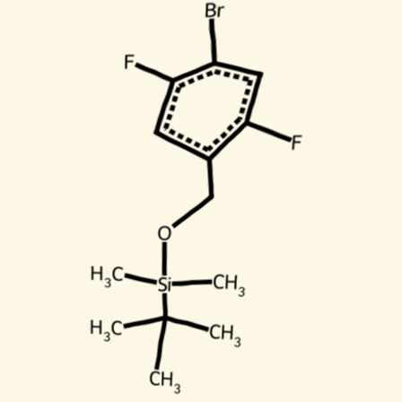 CC(C)(C)[Si](C)(C)OCc1cc(F)c(Br)cc1F